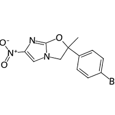 CC1(c2ccc(Br)cc2)Cn2cc([N+](=O)[O-])nc2O1